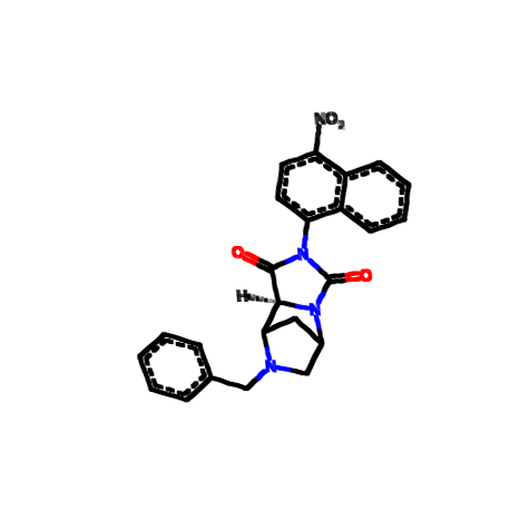 O=C1[C@@H]2C3CC(CN3Cc3ccccc3)N2C(=O)N1c1ccc([N+](=O)[O-])c2ccccc12